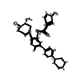 C[C@@H]1CN(c2cc(F)c(-c3ccc(N4CCOCC4)cc3)cc2NC(=O)c2cnn(C)c2)CCN1C